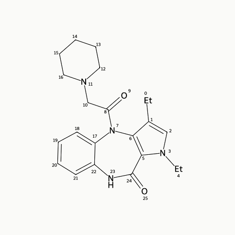 CCc1cn(CC)c2c1N(C(=O)CN1CCCCC1)c1ccccc1NC2=O